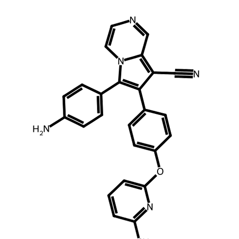 Cc1cccc(Oc2ccc(-c3c(C#N)c4cnccn4c3-c3ccc(N)cc3)cc2)n1